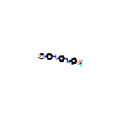 FC(F)(F)Oc1ccc(N=Nc2ccc(N=Nc3ccc(N4CCOCC4)cc3)cc2)cc1